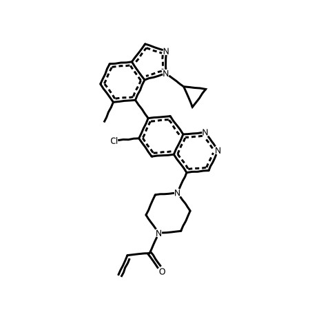 C=CC(=O)N1CCN(c2cnnc3cc(-c4c(C)ccc5cnn(C6CC6)c45)c(Cl)cc23)CC1